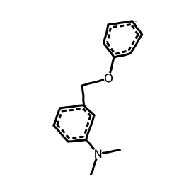 CN(C)c1cccc(COc2cc[c]cc2)c1